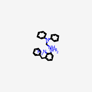 NCN(c1ccccc1)c1ccccc1.Nc1cccc(Cc2ccccc2)c1N